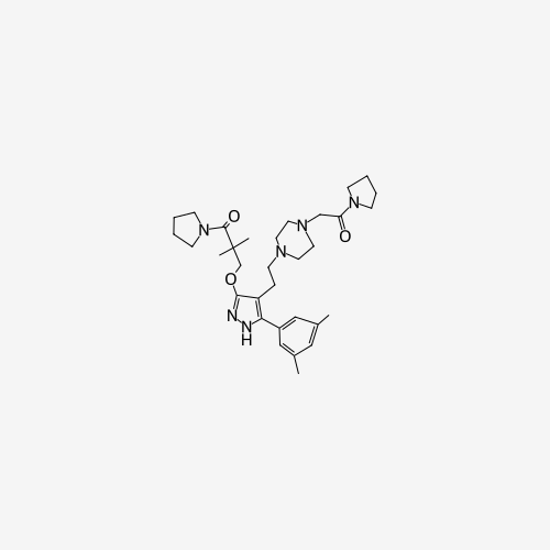 Cc1cc(C)cc(-c2[nH]nc(OCC(C)(C)C(=O)N3CCCC3)c2CCN2CCN(CC(=O)N3CCCC3)CC2)c1